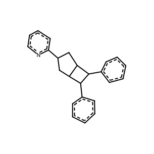 c1ccc(C2C3CC(c4ccccn4)CC3C2c2ccccc2)cc1